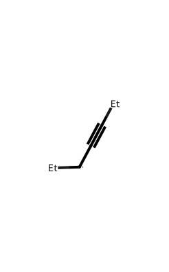 CCC#C[CH]CC